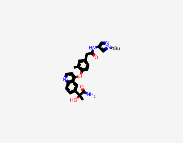 Cc1cc(CC(=O)Nc2cnn(C(C)(C)C)c2)ccc1Oc1ccnc2ccc(C(C)(O)C(N)=O)cc12